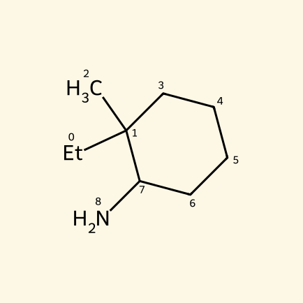 CCC1(C)CCCCC1N